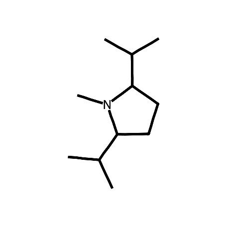 CC(C)C1CCC(C(C)C)N1C